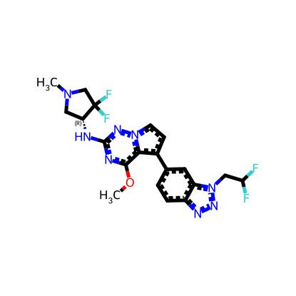 COc1nc(N[C@@H]2CN(C)CC2(F)F)nn2ccc(-c3ccc4nnn(CC(F)F)c4c3)c12